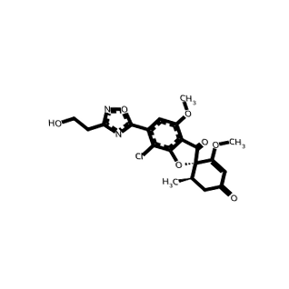 COC1=CC(=O)C[C@@H](C)[C@]12Oc1c(Cl)c(-c3nc(CCO)no3)cc(OC)c1C2=O